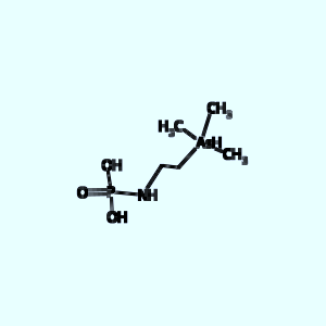 C[AsH](C)(C)CCNP(=O)(O)O